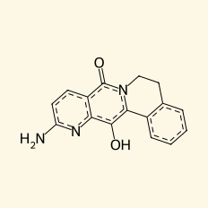 Nc1ccc2c(=O)n3c(c(O)c2n1)-c1ccccc1CC3